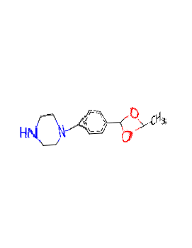 CC1OC(c2ccc(N3CCNCC3)cc2)O1